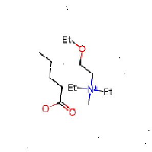 CCCCC(=O)[O-].CCOCC[N+](C)(CC)CC